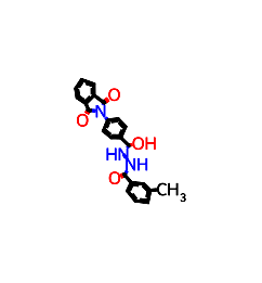 Cc1cccc(C(=O)NNC(O)c2ccc(N3C(=O)c4ccccc4C3=O)cc2)c1